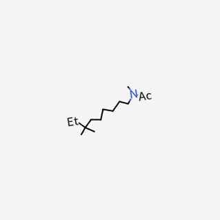 CCC(C)(C)CCCCCCN(C)C(C)=O